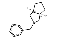 c1ccc(CN2C[C@H]3CCC[C@H]3C2)cc1